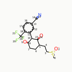 C[S+]([O-])CCC1CCC(=O)C(c2cc(C#N)ccc2C(F)(F)F)C1=O